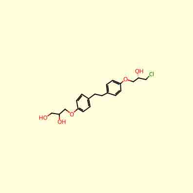 OCC(O)COc1ccc(CCc2ccc(OC[C@H](O)CCl)cc2)cc1